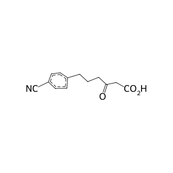 N#Cc1ccc(CCCC(=O)CC(=O)O)cc1